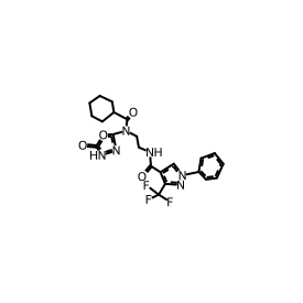 O=C(NCCN(C(=O)C1CCCCC1)c1n[nH]c(=O)o1)c1cn(-c2ccccc2)nc1C(F)(F)F